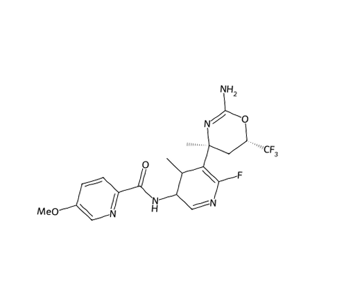 COc1ccc(C(=O)NC2C=NC(F)=C([C@]3(C)C[C@@H](C(F)(F)F)OC(N)=N3)C2C)nc1